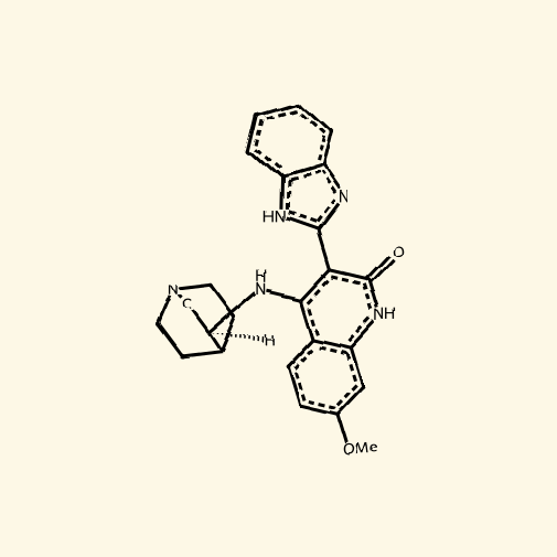 COc1ccc2c(N[C@@H]3CN4CCC3CC4)c(-c3nc4ccccc4[nH]3)c(=O)[nH]c2c1